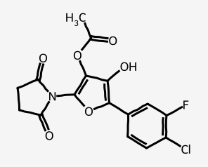 CC(=O)Oc1c(N2C(=O)CCC2=O)oc(-c2ccc(Cl)c(F)c2)c1O